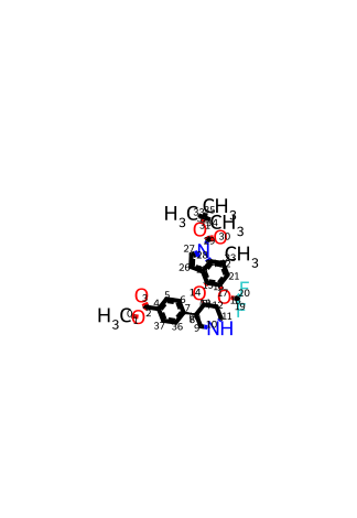 COC(=O)c1ccc([C@@H]2CNCC[C@H]2Oc2c(OC(F)F)cc(C)c3c2ccn3C(=O)OC(C)(C)C)cc1